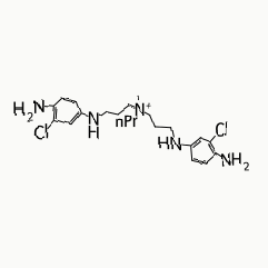 CCC[N+](C)(CCCNc1ccc(N)c(Cl)c1)CCCNc1ccc(N)c(Cl)c1